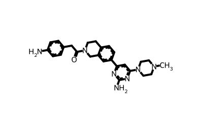 CN1CCN(c2cc(-c3ccc4c(c3)CN(C(=O)Cc3ccc(N)cc3)CC4)nc(N)n2)CC1